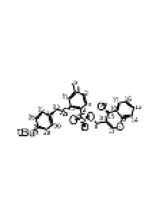 Cc1ccc(S(=O)(=O)OCc2coc3ccccc3c2=O)c(SCc2ccc(C(C)(C)C)cc2)c1